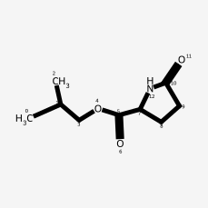 CC(C)COC(=O)C1CCC(=O)N1